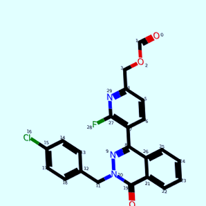 O=COCc1ccc(-c2nn(Cc3ccc(Cl)cc3)c(=O)c3ccccc23)c(F)n1